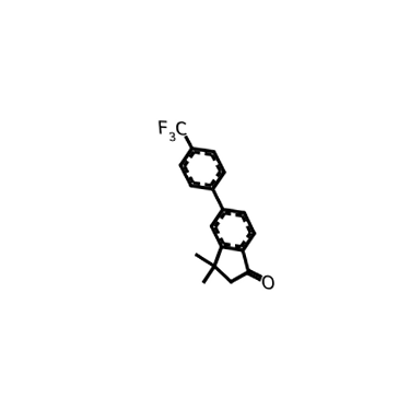 CC1(C)CC(=O)c2ccc(-c3ccc(C(F)(F)F)cc3)cc21